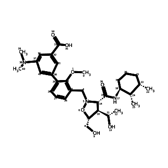 COc1c(CN2O[C@@H](CO)[C@H]([C@H](C)O)[C@H]2C(=O)N[C@H]2CCC[C@H](C)[C@@H]2C)cccc1-c1cc(C(=O)O)cc(N(C)C)c1